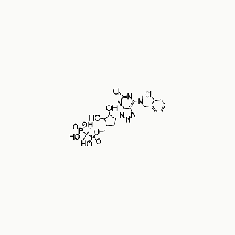 CN(Cc1ccccc1Cl)c1nc(Cl)nc2c1nnn2[C@@H]1C[C@H](COP(=O)(O)C(C)(C)P(=O)(O)O)[C@@H](O)[C@H]1O